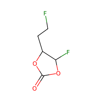 O=C1OC(F)C(CCF)O1